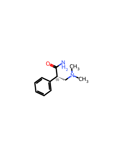 CN(C)C[C@@H](C(N)=O)c1ccccc1